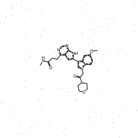 CNC(=O)CCc1ncnc2[nH]c(-c3cn(CC(=O)N4CCOCC4)c4ccc(OC)cc34)cc12